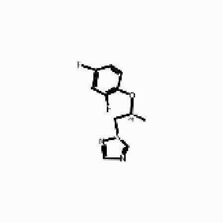 C[C@@H](Cn1cncn1)Oc1ccc(F)cc1F